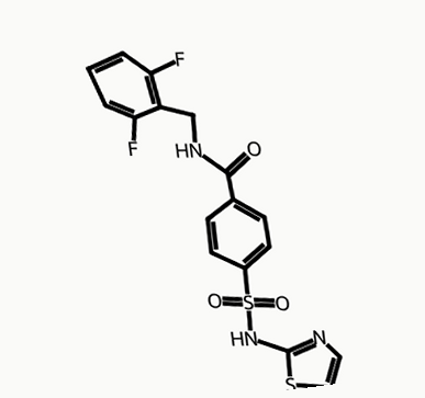 O=C(NCc1c(F)cccc1F)c1ccc(S(=O)(=O)Nc2nccs2)cc1